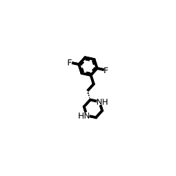 Fc1ccc(F)c(CC[C@H]2CNCCN2)c1